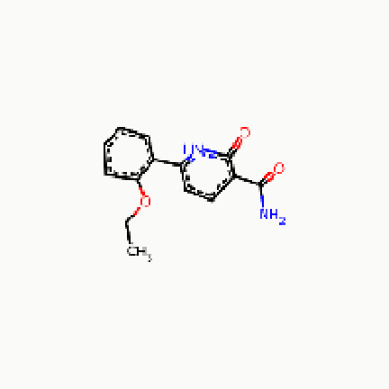 CCOc1ccccc1-c1ccc(C(N)=O)c(=O)[nH]1